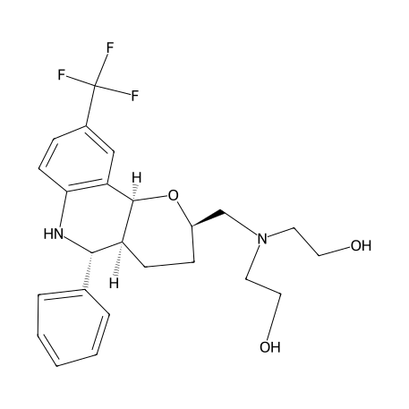 OCCN(CCO)C[C@H]1CC[C@@H]2[C@H](O1)c1cc(C(F)(F)F)ccc1N[C@H]2c1ccccc1